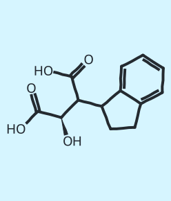 O=C(O)C(C1CCc2ccccc21)[C@@H](O)C(=O)O